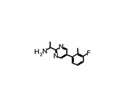 Cc1c(F)cccc1-c1cnc(C(C)N)nc1